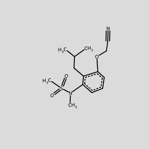 CC(C)Cc1c(OCC#N)cccc1N(C)S(C)(=O)=O